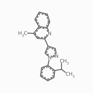 Cc1cc(-c2cnn(-c3ccccc3C(C)C)c2)nc2ccccc12